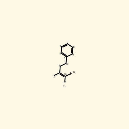 CC(CCc1ccccc1)=C(F)F